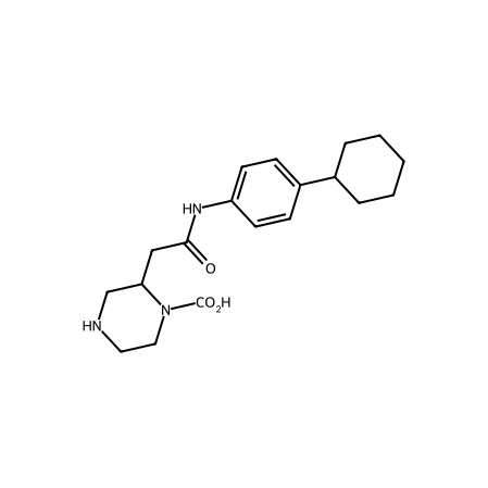 O=C(CC1CNCCN1C(=O)O)Nc1ccc(C2CCCCC2)cc1